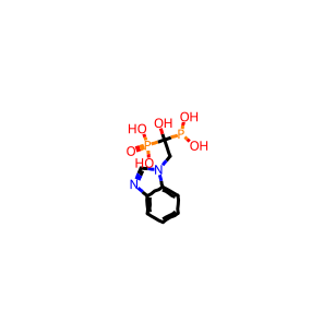 O=P(O)(O)C(O)(Cn1cnc2ccccc21)P(O)O